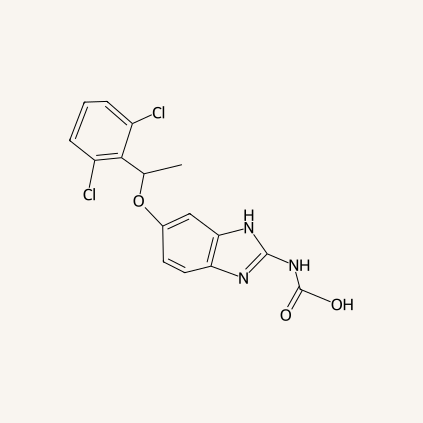 CC(Oc1ccc2nc(NC(=O)O)[nH]c2c1)c1c(Cl)cccc1Cl